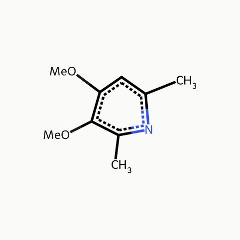 COc1cc(C)nc(C)c1OC